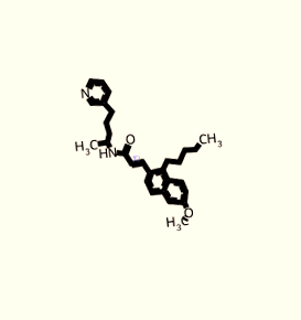 CCCCCc1c(/C=C/C(=O)NC(C)CCCc2cccnc2)ccc2cc(OC)ccc12